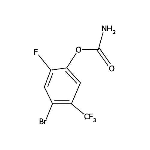 NC(=O)Oc1cc(C(F)(F)F)c(Br)cc1F